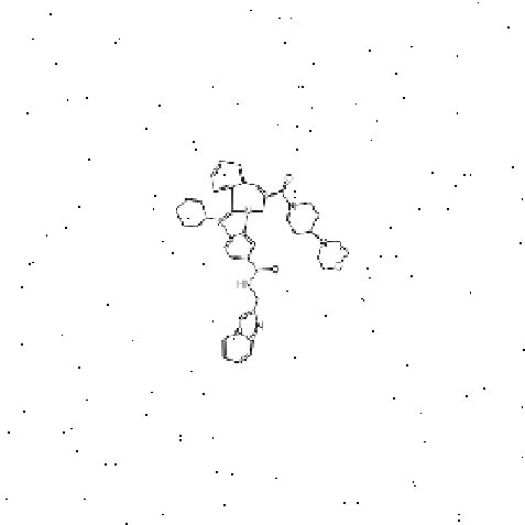 O=C(NCc1cn2ccccc2n1)c1ccc2c(C3CCCCC3)c3n(c2c1)CC(C(=O)N1CCC(N2CCOCC2)CC1)=Cc1ccccc1-3